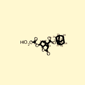 O=C(O)C(=O)OC1C2CC3C1OC(=O)C3C2C(=O)OC12CC3CC(CC(C3)C1)C2